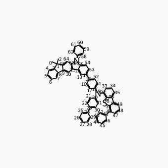 CC1(C)c2ccccc2-c2cc3c4cc(-c5ccc(N(c6ccc(-c7ccccc7)cc6)c6cccc7c6sc6c(-c8ccccc8)cccc67)cc5)ccc4n(-c4ccccc4)c3cc21